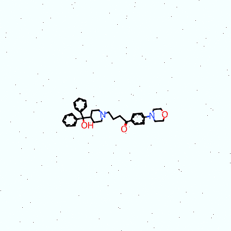 O=C(CCCN1CCC(C(O)(c2ccccc2)c2ccccc2)CC1)c1ccc(N2CCOCC2)cc1